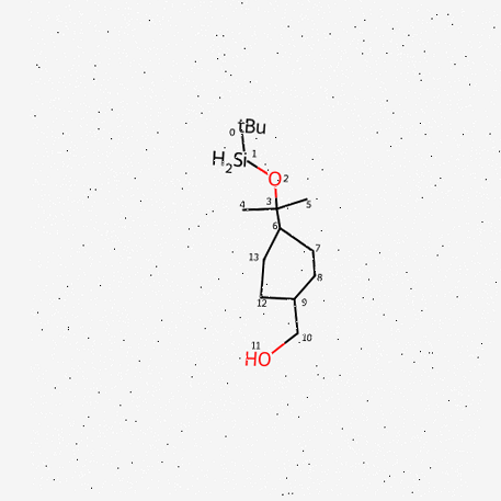 CC(C)(C)[SiH2]OC(C)(C)C1CCC(CO)CC1